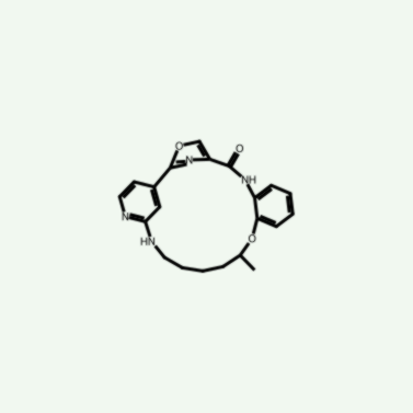 CC1CCCCNc2cc(ccn2)-c2nc(co2)C(=O)Nc2ccccc2O1